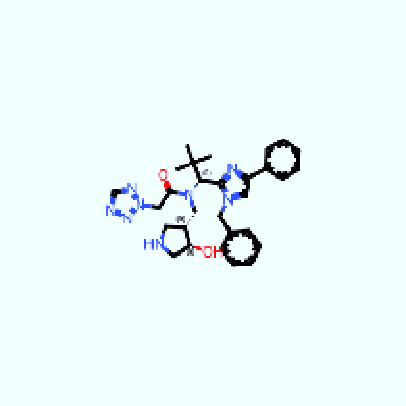 CC(C)(C)[C@H](c1nc(-c2ccccc2)cn1Cc1ccccc1)N(C[C@H]1CNC[C@@H]1O)C(=O)Cn1ncnn1